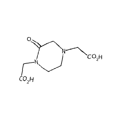 O=C(O)CN1CCN(CC(=O)O)C(=O)C1